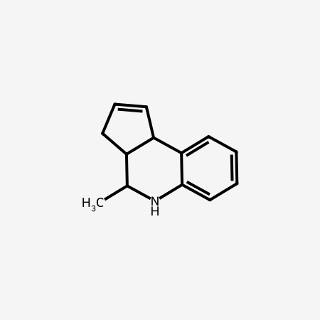 CC1Nc2ccccc2C2C=CCC12